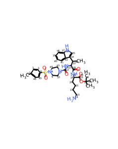 Cc1ccc(S(=O)(=O)N2CCN(C(=O)NC(C(=O)NC(CCCCN)C(=O)OC(C)(C)C)C(C)c3c[nH]c4ccccc34)CC2)cc1